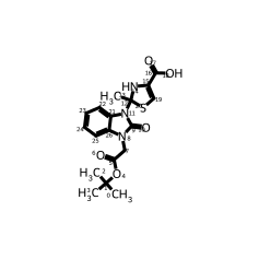 CC(C)(C)OC(=O)Cn1c(=O)n(C2(C)NC(C(=O)O)=CS2)c2ccccc21